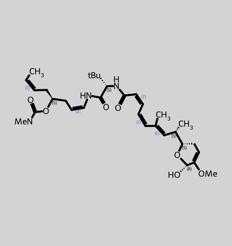 C/C=C\C[C@@H](C/C=C\NC(=O)[C@@H](NC(=O)\C=C/C=C\C(C)=C\[C@H](C)[C@@H]1CC=C(OC)[C@H](O)O1)C(C)(C)C)OC(=O)NC